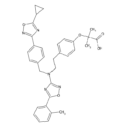 Cc1ccccc1-c1nc(N(CCc2ccc(OC(C)(C)C(=O)O)cc2)Cc2ccc(-c3noc(C4CC4)n3)cc2)no1